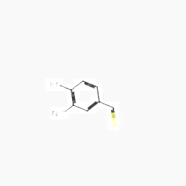 CCc1ccc(C=S)cc1C#N